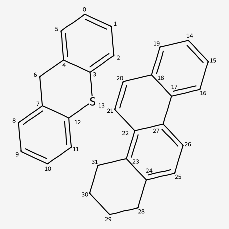 c1ccc2c(c1)Cc1ccccc1S2.c1ccc2c(c1)ccc1c3c(ccc12)CCCC3